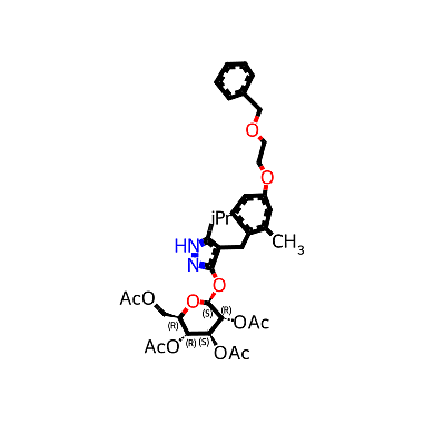 CC(=O)OC[C@H]1O[C@@H](Oc2n[nH]c(C(C)C)c2Cc2ccc(OCCOCc3ccccc3)cc2C)[C@H](OC(C)=O)[C@@H](OC(C)=O)[C@@H]1OC(C)=O